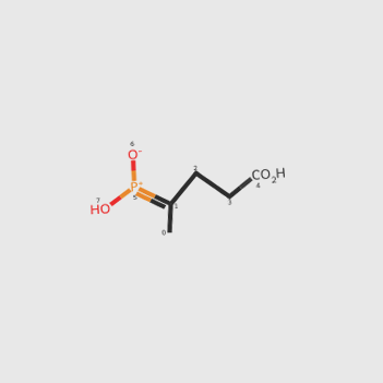 C/C(CCC(=O)O)=[P+](/[O-])O